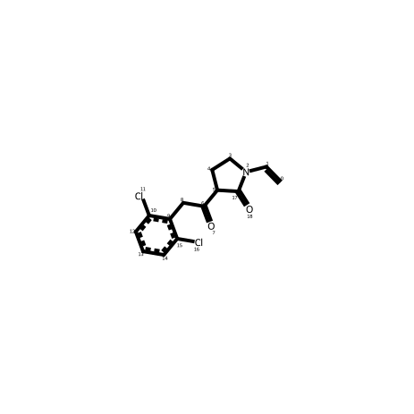 C=CN1CCC(C(=O)Cc2c(Cl)cccc2Cl)C1=O